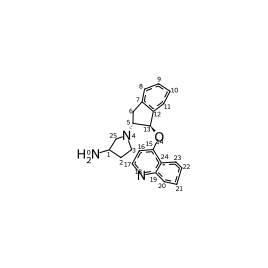 NC1CCN([C@@H]2Cc3ccccc3[C@H]2Oc2ccnc3ccccc23)C1